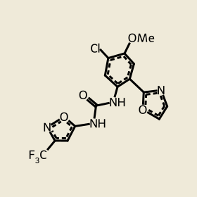 COc1cc(-c2ncco2)c(NC(=O)Nc2cc(C(F)(F)F)no2)cc1Cl